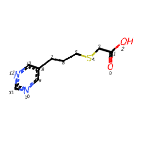 O=C(O)CSCCCc1cncnc1